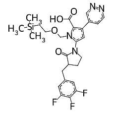 C[Si](C)(C)CCOCn1c(N2CCC(Cc3cc(F)c(F)c(F)c3)C2=O)cc(-c2ccnnc2)c1C(=O)O